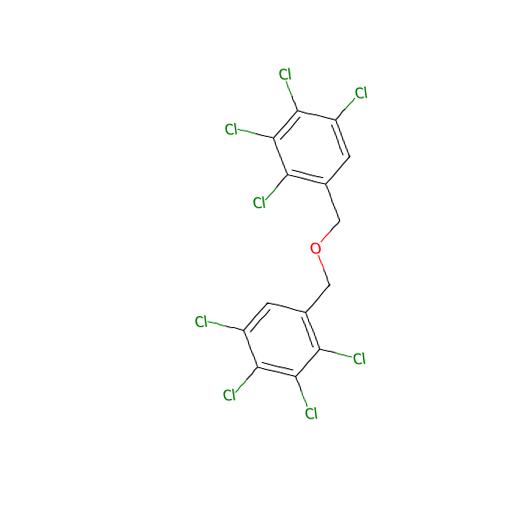 Clc1cc(COCc2cc(Cl)c(Cl)c(Cl)c2Cl)c(Cl)c(Cl)c1Cl